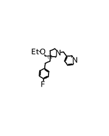 CCOC[C@@]1(CCc2ccc(F)cc2)CCN(Cc2cccnc2)C1